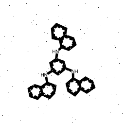 c1ccc2c(Nc3cc(Nc4cccc5ccccc45)cc(Nc4cccc5ccccc45)c3)cccc2c1